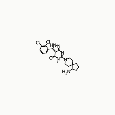 Cn1c(N2CCC3(CCCC3N)CC2)nc2n[nH]c(-c3cccc(Cl)c3Cl)c2c1=O